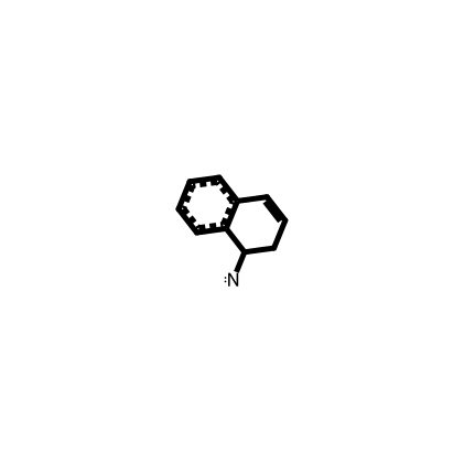 [N]C1CC=Cc2ccccc21